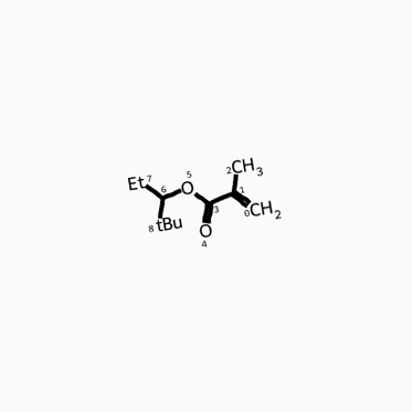 C=C(C)C(=O)OC(CC)C(C)(C)C